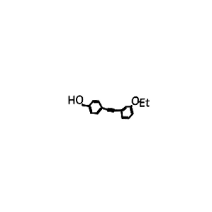 CCOc1cccc(C#Cc2ccc(CO)cc2)c1